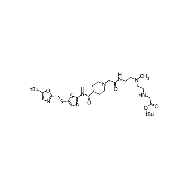 CN(CCNCC(=O)OC(C)(C)C)CCNC(=O)CN1CCC(C(=O)Nc2ncc(SCc3ncc(C(C)(C)C)o3)s2)CC1